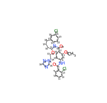 COc1cc(NC(=O)c2ccccc2Cl)ccc1C(=O)N1c2ccc(Cl)cc2CCCC1OCCn1cncn1